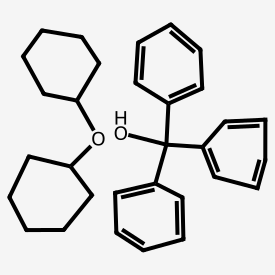 C1CCC(OC2CCCCC2)CC1.OC(c1ccccc1)(c1ccccc1)c1ccccc1